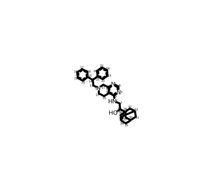 OC(CNc1ncnc2c1CCN(CC(c1ccccc1)c1ccccc1)C2)C12CC3CC(CC(C3)C1)C2